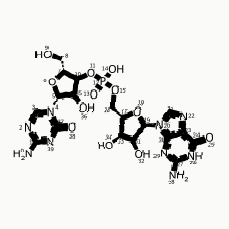 Nc1ncn([C@@H]2O[C@H](CO)C(OP(=O)(O)OC[C@H]3O[C@@H](n4cnc5c(=O)[nH]c(N)nc54)C(O)[C@H]3O)C2O)c(=O)n1